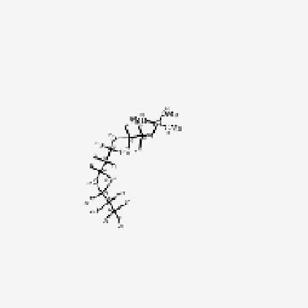 CO[Si](CC(F)(F)C(C)(C)OC(F)(F)C(C)(C)C(C)(C)OC(F)(F)C(F)(F)C(C)(C)F)(OC)OC